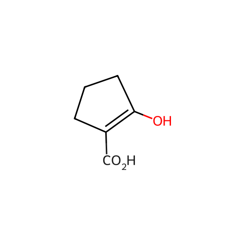 O=C(O)C1=C(O)CCC1